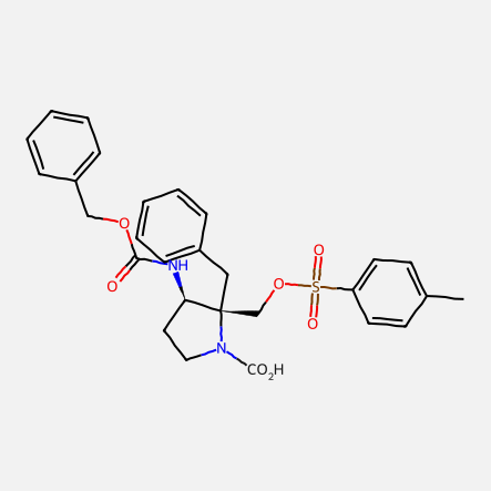 Cc1ccc(S(=O)(=O)OC[C@]2(Cc3ccccc3)[C@H](NC(=O)OCc3ccccc3)CCN2C(=O)O)cc1